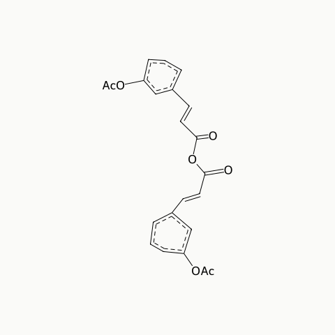 CC(=O)Oc1cccc(C=CC(=O)OC(=O)C=Cc2cccc(OC(C)=O)c2)c1